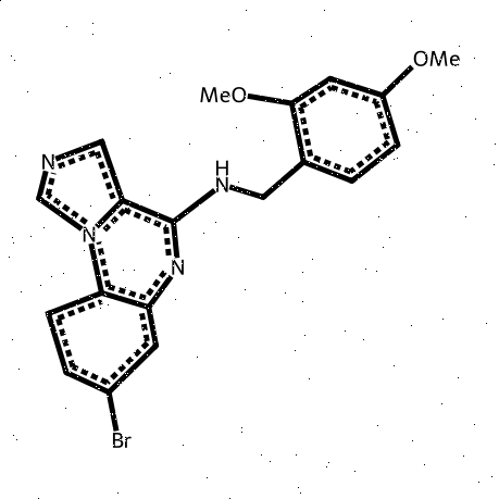 COc1ccc(CNc2nc3cc(Br)ccc3n3cncc23)c(OC)c1